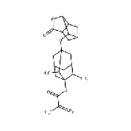 C=C(C)C(=O)OC12CC3CC(CC(OC4C5CC6C(=O)OC4C6C5)(C3)C1C)C2C